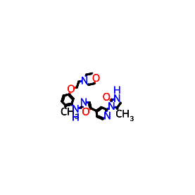 Cc1ccc(OCCN2CCOCC2)cc1Nc1ncc(-c2ccnc(N3C(=O)NCC3C)c2)o1